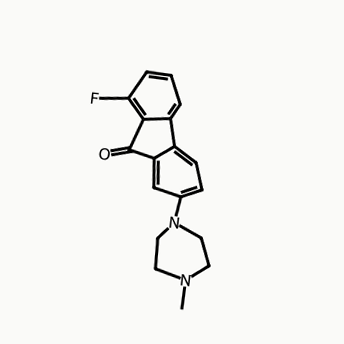 CN1CCN(c2ccc3c(c2)C(=O)c2c(F)cccc2-3)CC1